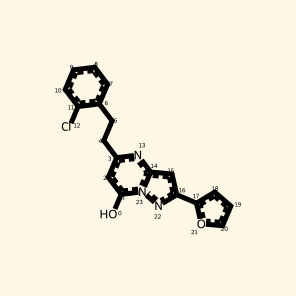 Oc1cc(CCc2ccccc2Cl)nc2cc(-c3ccco3)nn12